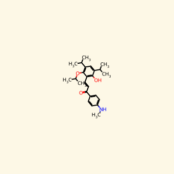 CNc1ccc(C(=O)C=Cc2c(O)c(C(C)C)cc(C(C)C)c2OC(C)C)cc1